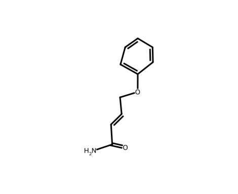 NC(=O)C=CCOc1ccccc1